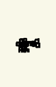 CCC(O)c1cn(Cc2ccc(Cl)c(Cl)c2)c(=O)c2c(O)c(=O)ccn12